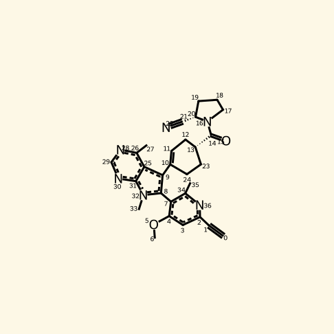 C#Cc1cc(OC)c(-c2c(C3=CC[C@H](C(=O)N4CCC[C@H]4C#N)CC3)c3c(C)ncnc3n2C)c(C)n1